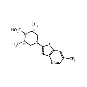 C[C@@H]1CN(c2nc3ncc(C(F)(F)F)cc3s2)C[C@H](C)N1C(=O)O